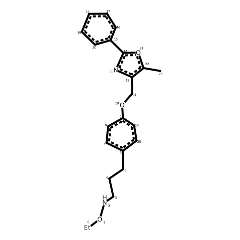 CCONCCCc1ccc(OCc2nc(-c3ccccc3)oc2C)cc1